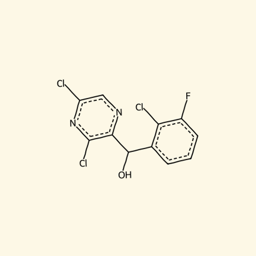 OC(c1cccc(F)c1Cl)c1ncc(Cl)nc1Cl